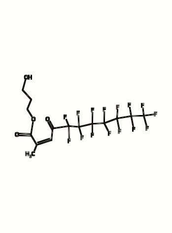 CC(=CC(=O)C(F)(F)C(F)(F)C(F)(F)C(F)(F)C(F)(F)C(F)(F)C(F)(F)F)C(=O)OCCCO